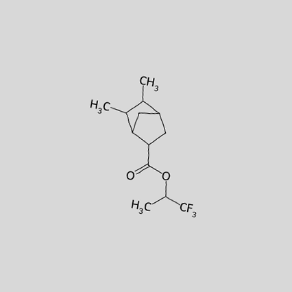 CC1C2CC(C(=O)OC(C)C(F)(F)F)C(C2)C1C